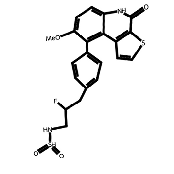 COc1ccc2[nH]c(=O)c3sccc3c2c1-c1ccc(CC(F)CN[SH](=O)=O)cc1